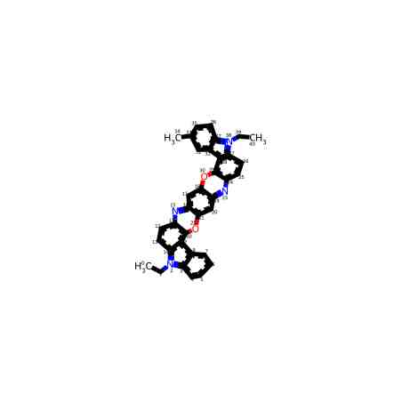 CCn1c2ccccc2c2c3c(ccc21)N=c1cc2c(cc1O3)=Nc1ccc3c(c1O2)c1cc(C)ccc1n3CC